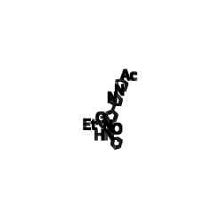 CCC1CN(C(=O)Nc2ccccc2)c2ccc(-c3ccc(N4CCC(C(C)=O)CC4)nc3)cc2O1